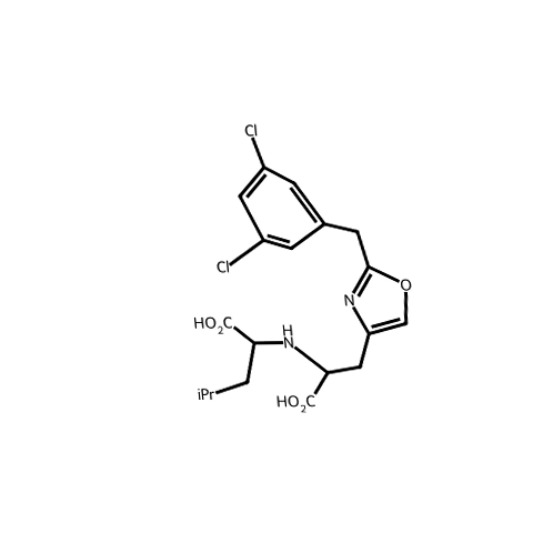 CC(C)CC(NC(Cc1coc(Cc2cc(Cl)cc(Cl)c2)n1)C(=O)O)C(=O)O